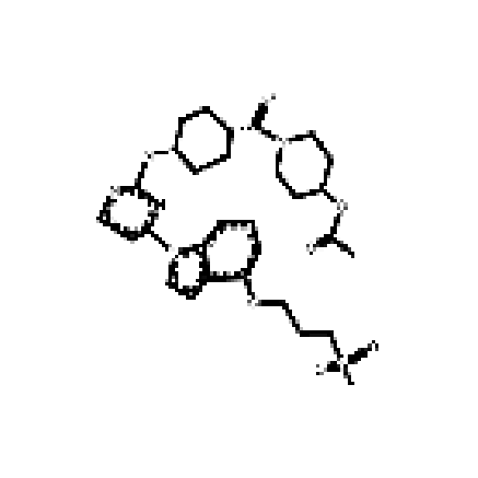 CC(=O)OC1CCN(C(=O)[C@H]2CC[C@H](Nc3nccc(-n4ccc5c(OCCCS(C)(=O)=O)cccc54)n3)CC2)CC1